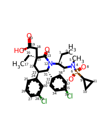 CC[C@@H](CN(C)S(=O)(=O)C1CC1)N1C(=O)[C@](CC)(CC(=O)O)C[C@H](c2cccc(Cl)c2)[C@H]1c1ccc(Cl)cc1